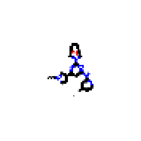 CC(=O)N1CCC(c2cc(Nc3cc(C(F)(F)F)ccn3)nc(N3CC4CCC(C3)O4)n2)C1